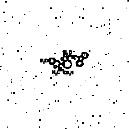 CN(CC(=O)O)C(=O)C(Cc1ccc(C(F)(F)F)cc1)N1CCCCCC(N(C)C(=O)OCC2c3ccccc3-c3ccccc32)C1=O